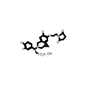 Cl.O=C(O)C[C@@H](c1ccc(Cl)c(F)c1)N(Cc1ccc(OCCN2C(=O)CCC2=O)c(F)c1)CC1CC1